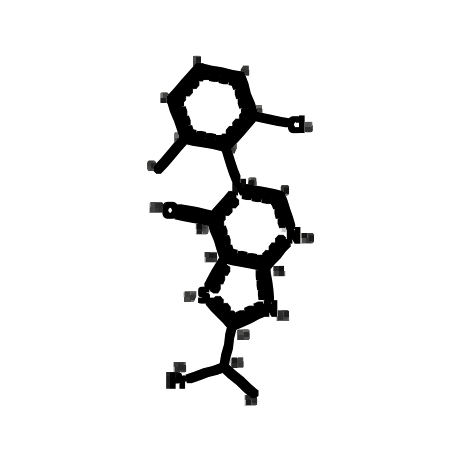 Cc1cccc(Cl)c1-n1cnc2nc(C(C)C(C)C)sc2c1=O